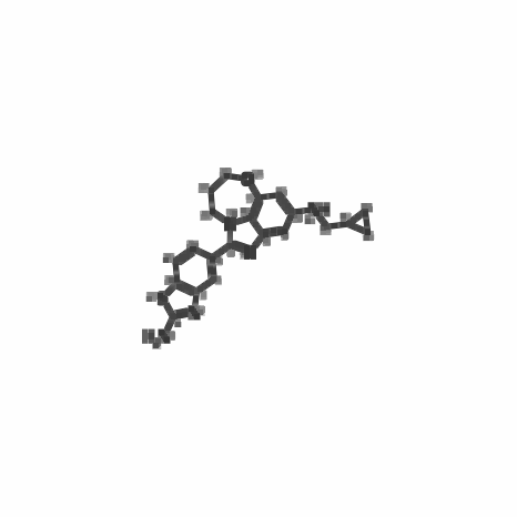 Nc1nc2cc(-c3nc4cc(NCC5CC5)cc5c4n3CCCO5)ccc2s1